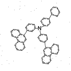 c1ccc(-c2ccc(N(c3ccc(-c4cc5ccccc5c5ccccc45)cc3)c3cccc(-c4cc5ccccc5c5ccccc45)c3)cc2)cc1